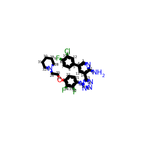 Nc1ncc(-c2ccc(F)c(Cl)c2)cc1-c1nnnn1-c1ccc(OCCN2CCCCC2)c(F)c1F